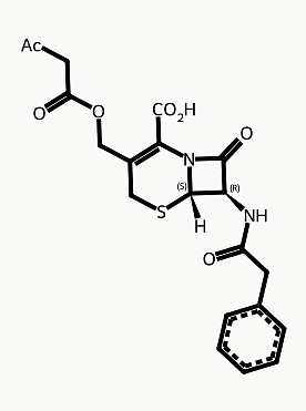 CC(=O)CC(=O)OCC1=C(C(=O)O)N2C(=O)[C@@H](NC(=O)Cc3ccccc3)[C@@H]2SC1